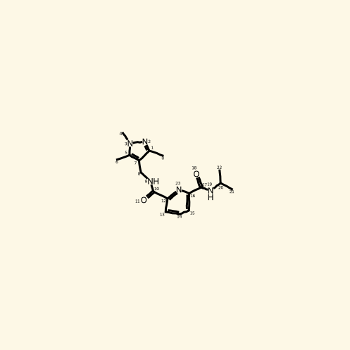 Cc1nn(C)c(C)c1CNC(=O)c1cccc(C(=O)NC(C)C)n1